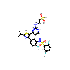 CC(C)c1nc(-c2ccc(F)c(NS(=O)(=O)c3cc(F)ccc3F)c2)c(-c2ccnc(NCCS(C)(=O)=O)n2)s1